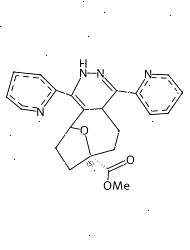 COC(=O)[C@]12CCC(O1)C1=C(c3ccccn3)NN=C(c3ccccn3)C1CC2